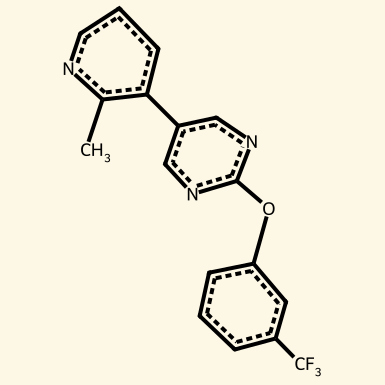 Cc1ncccc1-c1cnc(Oc2cccc(C(F)(F)F)c2)nc1